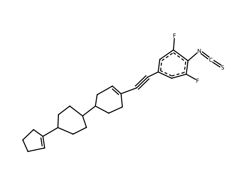 Fc1cc(C#CC2=CCC(C3CCC(C4=CCCC4)CC3)CC2)cc(F)c1N=C=S